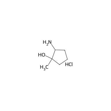 CC1(O)CCCC1N.Cl